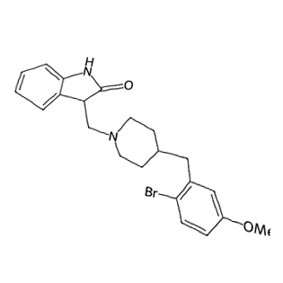 COc1ccc(Br)c(CC2CCN(CC3C(=O)Nc4ccccc43)CC2)c1